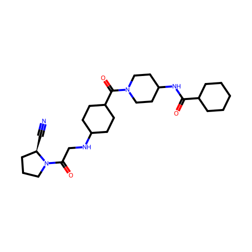 N#C[C@@H]1CCCN1C(=O)CNC1CCC(C(=O)N2CCC(NC(=O)C3CCCCC3)CC2)CC1